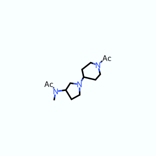 CC(=O)N1CCC(N2CCC(N(C)C(C)=O)C2)CC1